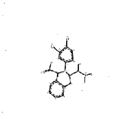 CC(=O)C1c2ccccc2CC(C(C)N(C)C)N1c1ccc(Cl)c(Cl)c1